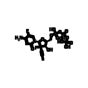 CC#CC1(F)[C@@H](O)[C@@H](COP(=O)(O)OP(=O)(O)OP(=O)(O)O)O[C@H]1n1cc(F)c(N)nc1=O